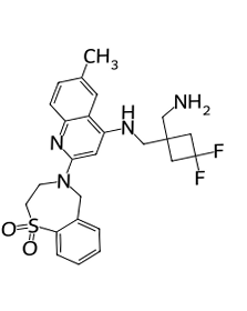 Cc1ccc2nc(N3CCS(=O)(=O)c4ccccc4C3)cc(NCC3(CN)CC(F)(F)C3)c2c1